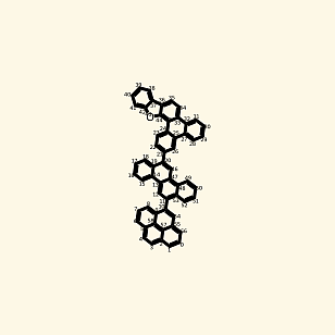 c1cc2ccc3cccc4c(-c5cc6c7ccccc7c(-c7ccc8c(c7)c7ccccc7c7ccc9c%10ccccc%10oc9c78)cc6c6ccccc56)cc(c1)c2c34